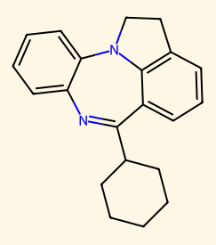 c1ccc2c(c1)N=C(C1CCCCC1)c1cccc3c1N2CC3